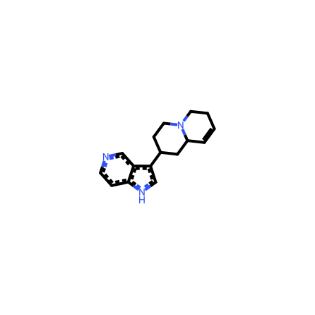 C1=CC2CC(c3c[nH]c4ccncc34)CCN2CC1